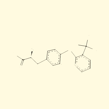 N[C@@H](Cc1ccc(Oc2ncccc2C(F)(F)F)cc1)C(=O)O